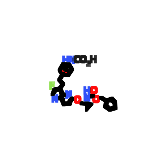 O=C(O)NC12CCC(CCc3c(F)cnc4ccc(OCC5(NC(=O)OCc6ccccc6)CC5)nc34)(CC1)OC2